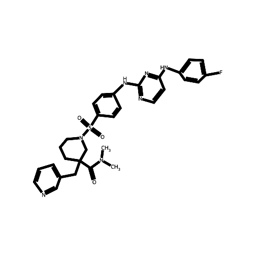 CN(C)C(=O)C1(Cc2cccnc2)CCCN(S(=O)(=O)c2ccc(Nc3nccc(Nc4ccc(F)cc4)n3)cc2)C1